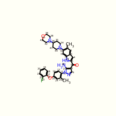 Cc1cc2cc(C(=O)c3cnn(-c4ccc(Oc5ccccc5F)cc4C)c3N)[nH]c2cc1N1CCC(N2CCOCC2)CC1